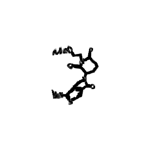 CNc1scc2c1CN(C1CCC(=O)N(CCOC)C1=O)C2=O